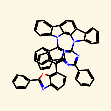 c1ccc(-c2nc(-c3ccccc3)nc(-n3c4ccccc4c4ccc5c6ccccc6n(-c6ccc(-c7cccc8nc(-c9ccccc9)oc78)c7ccccc67)c5c43)n2)cc1